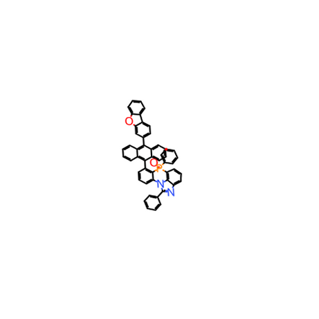 O=P1(c2ccccc2)c2c(-c3c4ccccc4c(-c4ccc5c(c4)oc4ccccc45)c4ccccc34)cccc2-n2c(-c3ccccc3)nc3cccc1c32